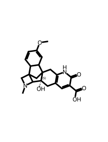 COC1=CC2C(C=C1)C13CN(C)C1[C@]1(O)Cc4cc(C(=O)O)c(=O)[nH]c4CC21C3